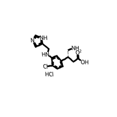 Cl.NC[C@H](CC(=O)O)c1ccc(Cl)c(NCc2cnc[nH]2)c1